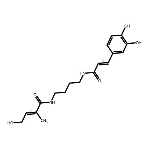 C/C(=C\CO)C(=O)NCCCCNC(=O)/C=C/c1ccc(O)c(O)c1